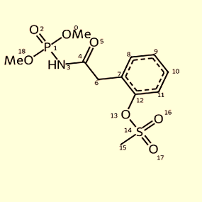 COP(=O)(NC(=O)Cc1ccccc1OS(C)(=O)=O)OC